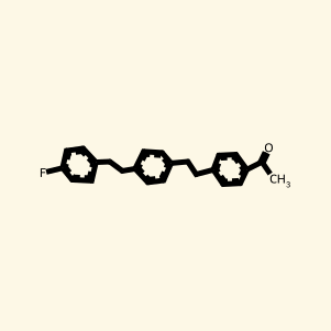 CC(=O)c1ccc(CCc2ccc(CCc3ccc(F)cc3)cc2)cc1